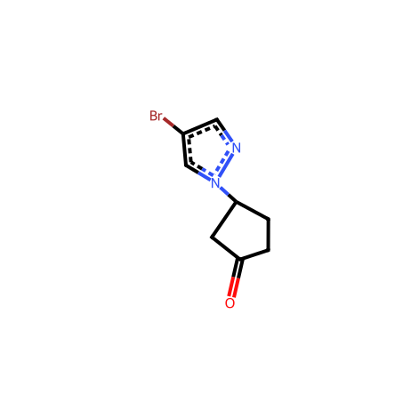 O=C1CCC(n2cc(Br)cn2)C1